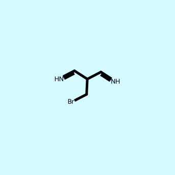 N=CC(C=N)CBr